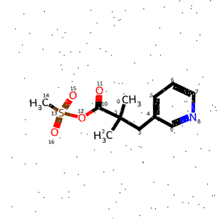 CC(C)(Cc1cccnc1)C(=O)OS(C)(=O)=O